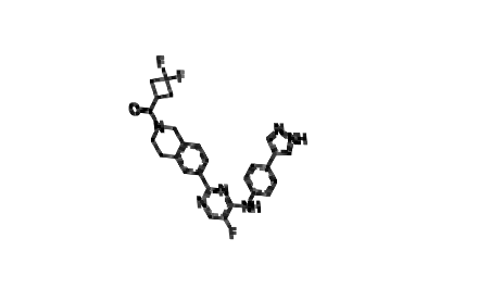 O=C(C1CC(F)(F)C1)N1CCc2cc(-c3ncc(F)c(Nc4ccc(-c5cn[nH]c5)cc4)n3)ccc2C1